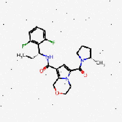 CC[C@@H](NC(=O)c1cc(C(=O)N2CCC[C@@H]2C)n2c1COCC2)c1c(F)cccc1F